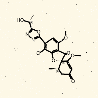 COC1=CC(=O)C[C@@H](C)[C@]12Oc1c(Cl)c(-c3nnc([C@@H](C)O)o3)cc(OC)c1C2=O